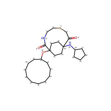 O=C1CSCCNC(=O)C2(OC3CCCCCCCCCC3)CCC1(NC1CCCC1)CC2